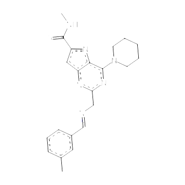 CNC(=O)c1cc2nc(C/N=C/c3cccc(C)c3)nc(N3CCCCC3)c2[nH]1